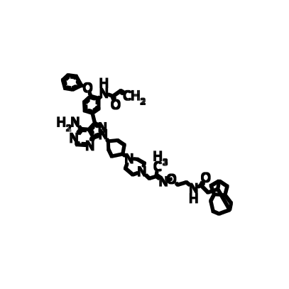 C=CC(=O)Nc1cc(-c2nn(C3CCC(N4CCN(C/C(C)=N/OCCNC(=O)CC5C6CCCC7CC5CC7C6)CC4)CC3)c3ncnc(N)c23)ccc1Oc1ccccc1